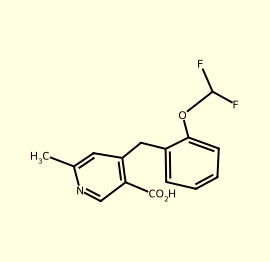 Cc1cc(Cc2ccccc2OC(F)F)c(C(=O)O)cn1